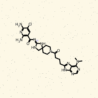 CN(C)c1ncnc2[nH]c(CCCC(=O)N3CCC4(CC3)CN/C(=N\C(=O)c3cc(Cl)c(N)nc3N)N4)nc12